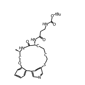 C[C@@H]1COc2ccccc2-c2cncc(c2)SCCCC[C@H](NC(=O)CCNC(=O)OC(C)(C)C)C(=O)N1